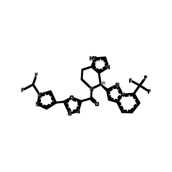 O=C(c1nnc(-c2cnn(C(F)F)c2)o1)N1CCc2[nH]cnc2[C@H]1c1cc2cccc(C(F)(F)F)n2n1